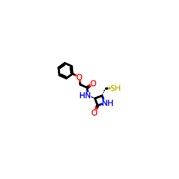 O=C(COc1ccccc1)N[C@H]1C(=O)N[C@H]1CS